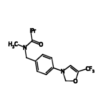 CC(C)C(=O)N(C)Cc1ccc(N2C=C(C(F)(F)F)OC2)cc1